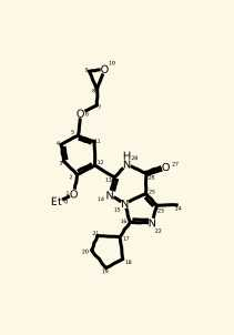 CCOc1ccc(OCC2CO2)cc1-c1nn2c(C3CCCC3)nc(C)c2c(=O)[nH]1